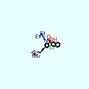 CCN(CC)CCN1C(=O)C(O)(c2ccc3ccccc3c2)c2c(Cl)cc(C#CCCO[Si](C)(C)C(C)(C)C)cc21